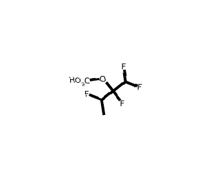 CC(F)C(F)(OC(=O)O)C(F)F